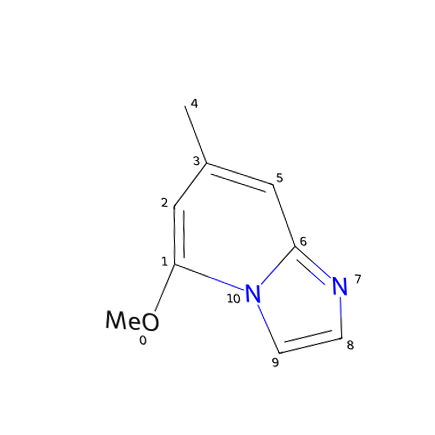 COc1cc(C)cc2nccn12